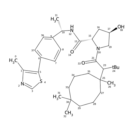 Cc1ncsc1-c1ccc([C@H](C)NC(=O)[C@@H]2C[C@@H](O)CN2C(=O)C(C(C)(C)C)C2(C)CCCC(C)(C)CCC2)cc1